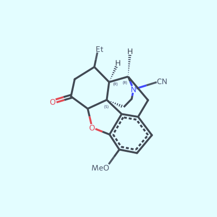 CCC1CC(=O)C2Oc3c(OC)ccc4c3[C@@]23CCN(C#N)[C@H](C4)[C@H]13